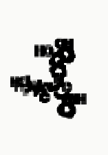 CC(C)(N)C(=O)N[C@@H](Cc1c[nH]c2ccccc12)C(=O)N1CCC2(CC1)C[C@@H](O)c1c(O)cccc12.Cl